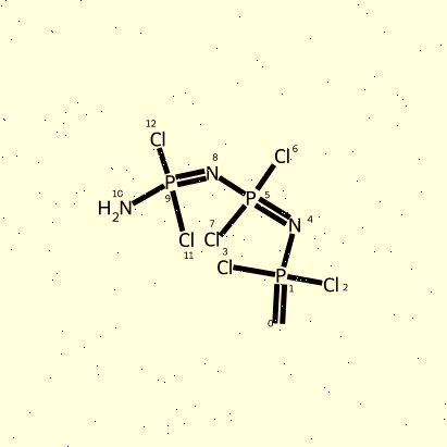 C=P(Cl)(Cl)N=P(Cl)(Cl)N=P(N)(Cl)Cl